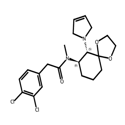 CN(C(=O)Cc1ccc(Cl)c(Cl)c1)[C@@H]1CCCC2(OCCO2)[C@H]1N1CC=CC1